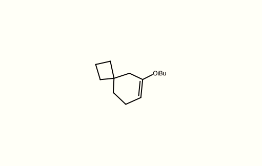 CC(C)COC1=CCCC2(CCC2)C1